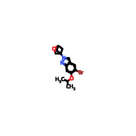 CC(C)Oc1cc2nn(C34COC(C3)C4)cc2cc1Br